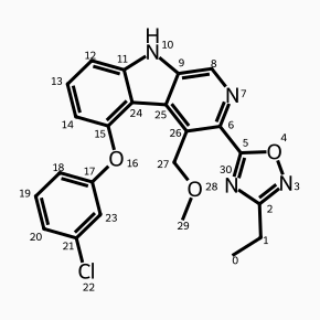 CCc1noc(-c2ncc3[nH]c4cccc(Oc5cccc(Cl)c5)c4c3c2COC)n1